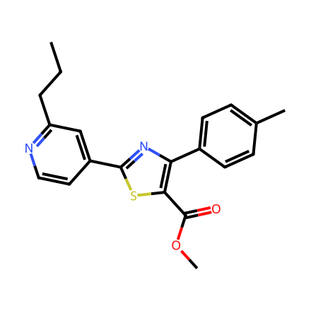 CCCc1cc(-c2nc(-c3ccc(C)cc3)c(C(=O)OC)s2)ccn1